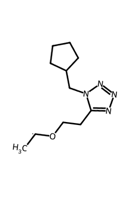 C[CH]OCCc1nnnn1CC1CCCC1